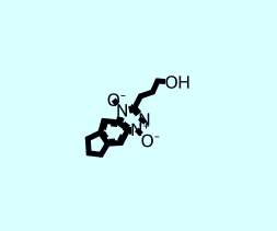 [O-][n+]1nc(CCCO)[n+]([O-])c2cc3c(cc21)CCC3